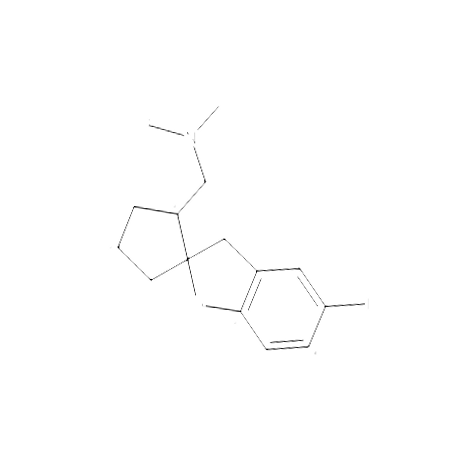 CN(C)CC1CCCC12Cc1cc(I)ccc1O2